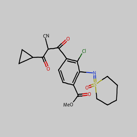 COC(=O)c1ccc(C(=O)C(C#N)C(=O)C2CC2)c(Cl)c1N=S1(=O)CCCCC1